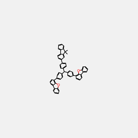 CC1(C)c2ccccc2-c2ccc(-c3ccc(C(c4ccc(-c5cccc6c5oc5ccccc56)cc4)c4ccc(-c5cccc6c5oc5ccccc56)cc4)cc3)cc21